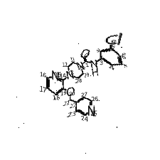 O=C(Nc1cccc(Cl)c1)N1CCN(c2ncccc2OCc2ccncc2)CC1